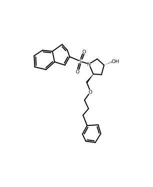 O=S(=O)(c1ccc2ccccc2c1)N1C[C@H](O)C[C@H]1COCCCc1ccccc1